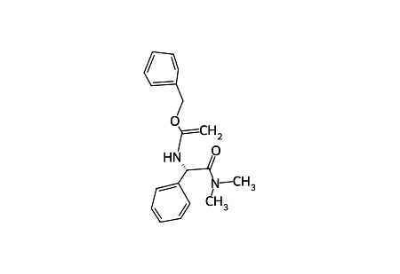 C=C(N[C@H](C(=O)N(C)C)c1ccccc1)OCc1ccccc1